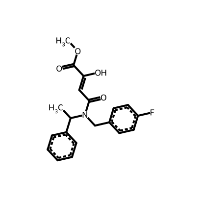 COC(=O)C(O)=CC(=O)N(Cc1ccc(F)cc1)C(C)c1ccccc1